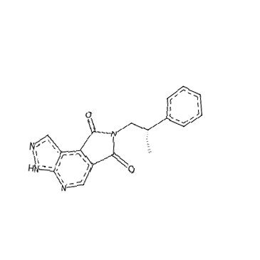 C[C@H](CN1C(=O)c2cnc3[nH]ncc3c2C1=O)c1ccccc1